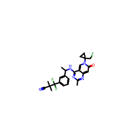 Cc1nc(NC(C)c2cccc(C(F)(F)C(C)(C)C#N)c2)c2cn(C3(CF)CC3)c(=O)cc2n1